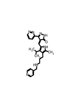 Cc1[nH]c(C=C2C(=O)NN=C2c2cccnn2)c(C(C)C)c1CCCNCc1ccncc1